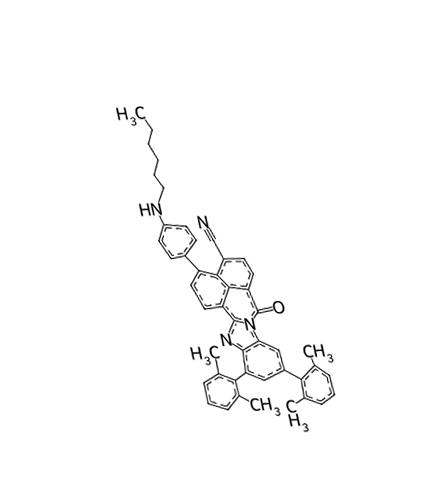 CCCCCCNc1ccc(-c2ccc3c4c2c(C#N)ccc4c(=O)n2c4cc(-c5c(C)cccc5C)cc(-c5c(C)cccc5C)c4nc32)cc1